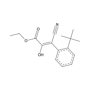 CCOC(=O)C(O)=C(C#N)c1ccccc1C(C)(C)C